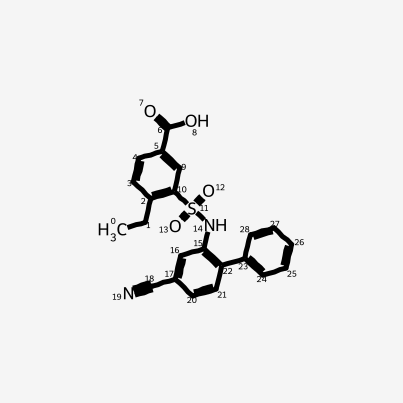 CCc1ccc(C(=O)O)cc1S(=O)(=O)Nc1cc(C#N)ccc1-c1ccccc1